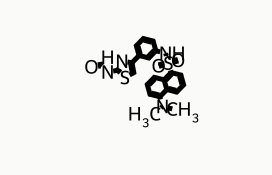 CN(C)c1cccc2c(S(=O)(=O)Nc3cccc(-c4csc(NC=O)n4)c3)cccc12